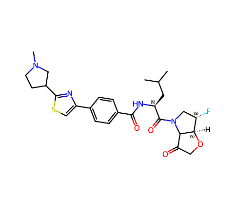 CC(C)C[C@H](NC(=O)c1ccc(-c2csc(C3CCN(C)C3)n2)cc1)C(=O)N1C[C@H](F)[C@H]2OCC(=O)C21